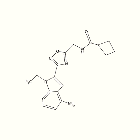 Nc1cccc2c1cc(-c1noc(CNC(=O)C3CCC3)n1)n2CC(F)(F)F